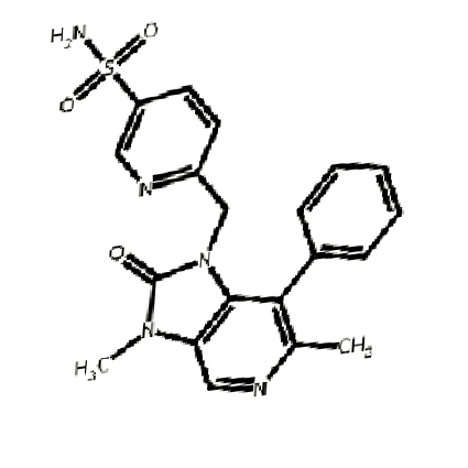 Cc1ncc2c(c1-c1ccccc1)n(Cc1ccc(S(N)(=O)=O)cn1)c(=O)n2C